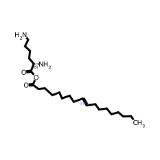 CCCCCCCC/C=C/CCCCCCCC(=O)OC(=O)[C@@H](N)CCCCN